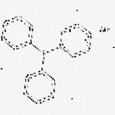 [Au].c1ccc(P(c2ccccc2)c2ccccc2)cc1